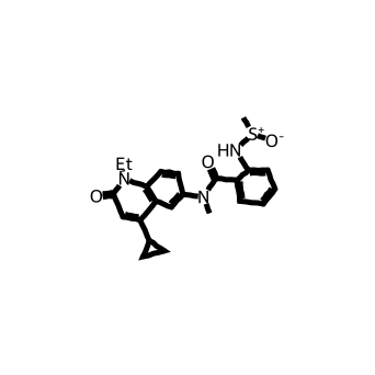 CCn1c(=O)cc(C2CC2)c2cc(N(C)C(=O)c3ccccc3N[S+](C)[O-])ccc21